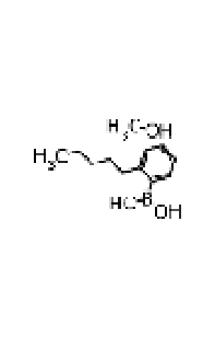 CCCCCc1ccccc1B(O)O.CO